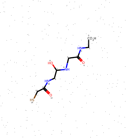 O=C(O)CNC(=O)CNC(O)CNC(=O)CS